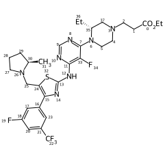 CCOC(=O)CCN1CCN(c2ncnc(Nc3nc(-c4cc(F)cc(C(F)(F)F)c4)c(CN4CCC[C@H]4C)s3)c2F)[C@H](CC)C1